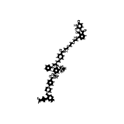 CC1(C)CCC(CN2CCN(c3ccc(C(=O)NS(=O)(=O)c4ccc(N[C@H](CCN5CCC(C(=O)NCCOCCOCCNc6cccc7c6C(=O)N(C6CCC(=O)NC6=O)C7=O)CC5)CSc5ccccc5)c(S(=O)(=O)C(F)(F)F)c4)cc3)CC2)=C(C23CC(C(F)F)(C2)C3)C1